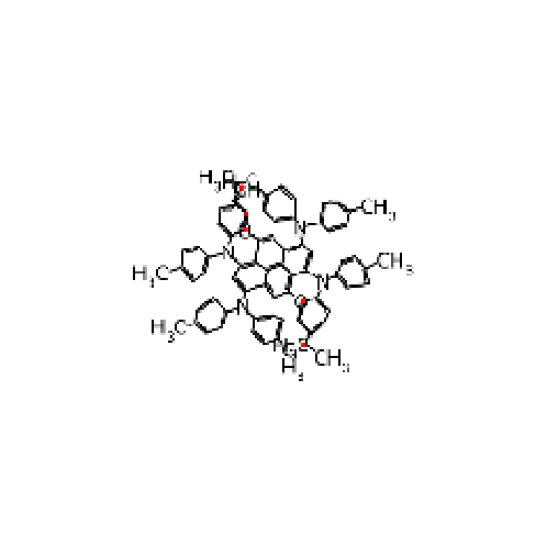 CCCCOc1cc2c(N(c3ccc(C)cc3)c3ccc(C)cc3)cc(N(c3ccc(C)cc3)c3ccc(C)cc3)c3c(OCCCC)cc4c(N(c5ccc(C)cc5)c5ccc(C)cc5)cc(N(c5ccc(C)cc5)c5ccc(C)cc5)c1c4c23